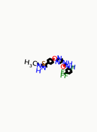 CCNc1ncc(-c2ccc(Oc3ncc(NC(=O)Nc4cc(C(F)(F)F)ccc4F)cn3)cc2)s1